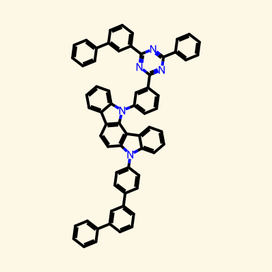 c1ccc(-c2cccc(-c3ccc(-n4c5ccccc5c5c4ccc4c6ccccc6n(-c6cccc(-c7nc(-c8ccccc8)nc(-c8cccc(-c9ccccc9)c8)n7)c6)c45)cc3)c2)cc1